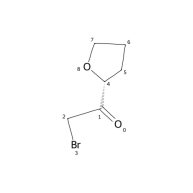 O=C(CBr)[C@H]1CCCO1